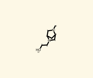 CN1CC2CC1CN2CCO